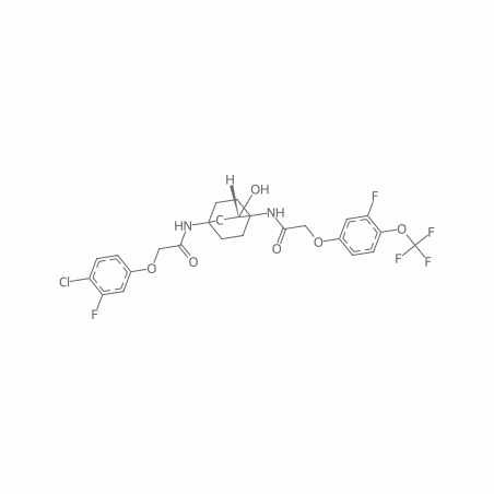 O=C(COc1ccc(Cl)c(F)c1)NC12CCC(NC(=O)COc3ccc(OC(F)(F)F)c(F)c3)(CC1)[C@@H](O)C2